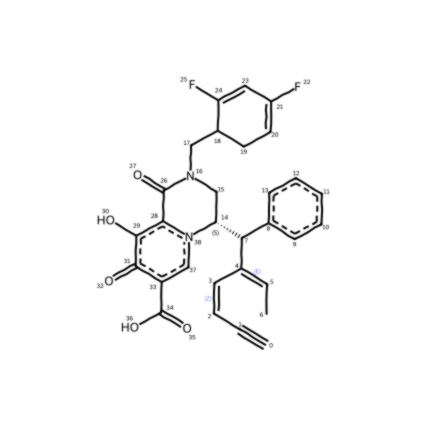 C#C/C=C\C(=C/C)C(c1ccccc1)[C@H]1CN(CC2CC=C(F)C=C2F)C(=O)c2c(O)c(=O)c(C(=O)O)cn21